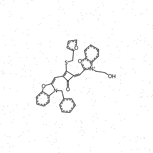 O=C1C(/C=C2/Oc3ccccc3N2Cc2ccccc2)=C(SCc2ccco2)C/1=C\c1oc2ccccc2[n+]1CCO